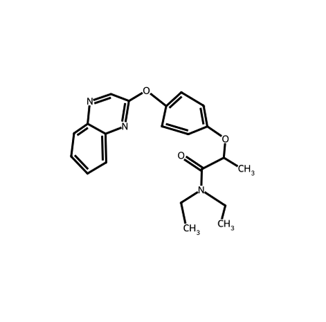 CCN(CC)C(=O)C(C)Oc1ccc(Oc2cnc3ccccc3n2)cc1